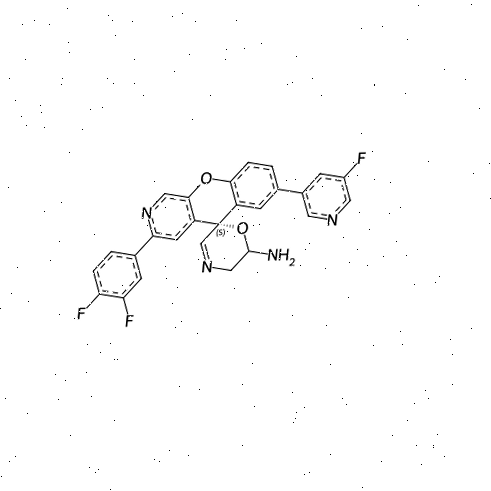 NC1CN=C[C@]2(O1)c1cc(-c3cncc(F)c3)ccc1Oc1cnc(-c3ccc(F)c(F)c3)cc12